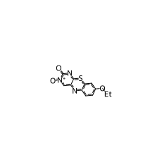 CCOc1ccc2nc3c[n+]([O-])c(=O)nc-3sc2c1